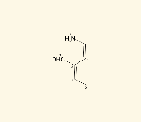 C/C=C(C=O)\C=C/N